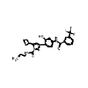 C=CCNC(=O)n1nc(-c2ccc(NC(=O)c3cccc(C(F)(F)F)c3)cc2O)cc1C1CCC1